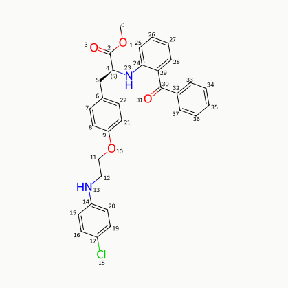 COC(=O)[C@H](Cc1ccc(OCCNc2ccc(Cl)cc2)cc1)Nc1ccccc1C(=O)c1ccccc1